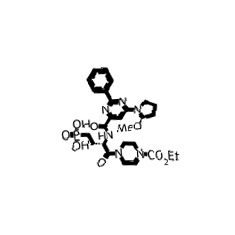 CCOC(=O)N1CCN(C(=O)[C@H](CCP(=O)(O)O)NC(=O)c2cc(N3CCC[C@@H]3OC)nc(-c3ccccc3)n2)CC1